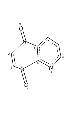 O=C1C=CC(=O)c2ncccc21